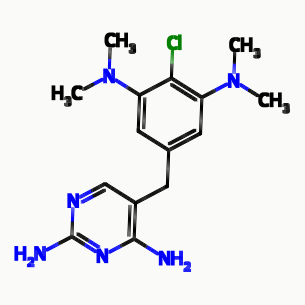 CN(C)c1cc(Cc2cnc(N)nc2N)cc(N(C)C)c1Cl